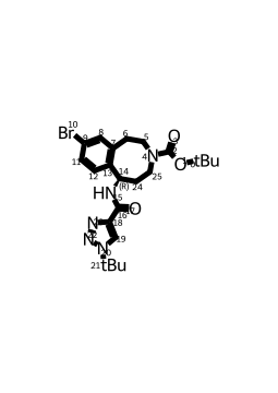 CC(C)(C)OC(=O)N1CCc2cc(Br)ccc2[C@H](NC(=O)c2cn(C(C)(C)C)nn2)CC1